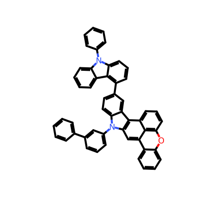 c1ccc(-c2cccc(-n3c4ccc(-c5cccc6c5c5ccccc5n6-c5ccccc5)cc4c4c5cccc6c5c(cc43)-c3ccccc3O6)c2)cc1